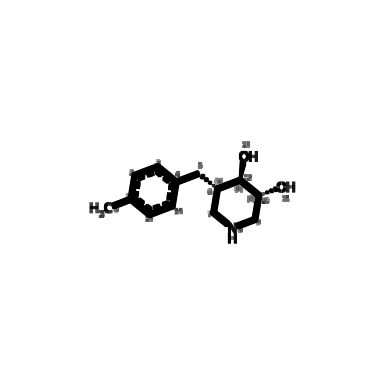 Cc1ccc(C[C@H]2CNC[C@@H](O)[C@@H]2O)cc1